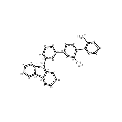 Cc1ccccc1-c1ccc(-c2cccc(-n3c4ccccc4c4ccccc43)c2)cc1C